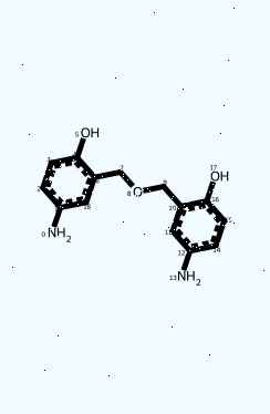 Nc1ccc(O)c(COCc2cc(N)ccc2O)c1